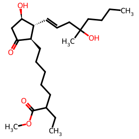 CCCCC(C)(O)C/C=C/[C@H]1[C@H](O)CC(=O)[C@@H]1CCCCCC(CC)C(=O)OC